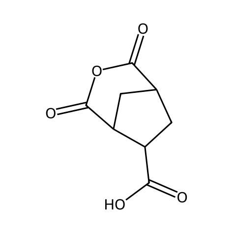 O=C1OC(=O)C2CC1CC2C(=O)O